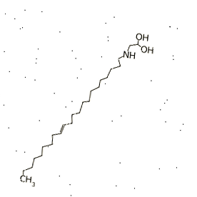 CCCCCCCCC=CCCCCCCCCCCCCNCC(O)O